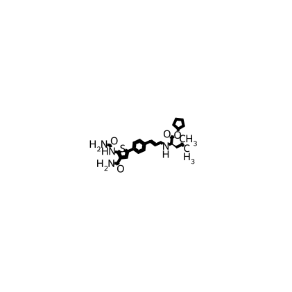 CC(C)C[C@@H](NC/C=C/c1ccc(-c2cc(C(N)=O)c(NC(N)=O)s2)cc1)C(=O)OC1CCCC1